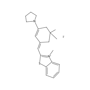 C[n+]1c(/C=C2/C=C(N3CCCC3)CC(C)(C)C2)sc2ccccc21.[I-]